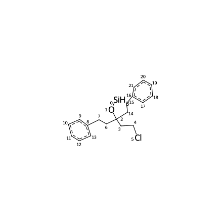 [SiH3]OC(CCCl)(CCc1ccccc1)CCc1ccccc1